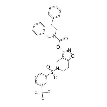 O=C(Oc1noc2c1CN(S(=O)(=O)c1cccc(C(F)(F)F)c1)CC2)N(CCc1ccccc1)Cc1ccccc1